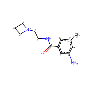 Nc1cc(C(=O)NCCN2CCC2)cc(C(F)(F)F)c1